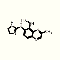 CBc1c(NC2=NCCN2)ccc2ncc(C)nc12